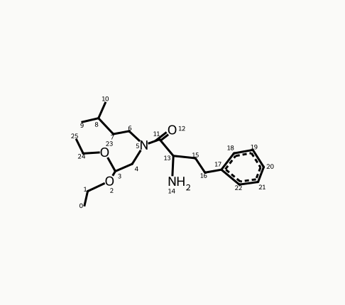 CCOC(CN(CCC(C)C)C(=O)C(N)CCc1ccccc1)OCC